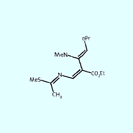 CCC/C=C(NC)/C(=C\N=C(/C)SC)C(=O)OCC